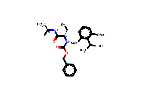 CC(C)C[C@H](NC(=O)OCc1ccccc1)C(=O)N[C@@H](C)C(=O)O.COc1cccc(OC)c1C(C=O)C(=O)O